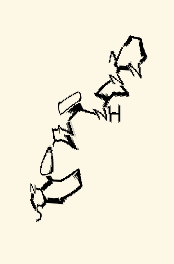 O=C(NC1CN(c2ncccn2)C1)N1CC(Oc2cccc3scnc23)C1